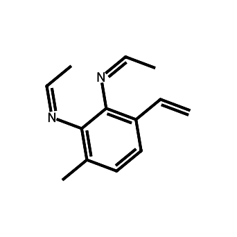 C=Cc1ccc(C)c(/N=C\C)c1/N=C\C